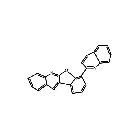 c1ccc2nc(-c3cccc4c3oc3nc5ccccc5cc34)ccc2c1